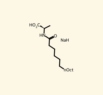 CCCCCCCCCCCCCC(=O)N[C@H](C)C(=O)O.[NaH]